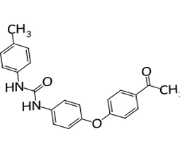 CC(=O)c1ccc(Oc2ccc(NC(=O)Nc3ccc(C)cc3)cc2)cc1